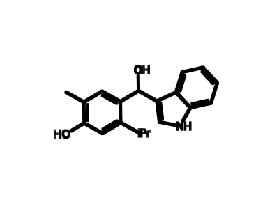 Cc1cc(C(O)c2c[nH]c3ccccc23)c(C(C)C)cc1O